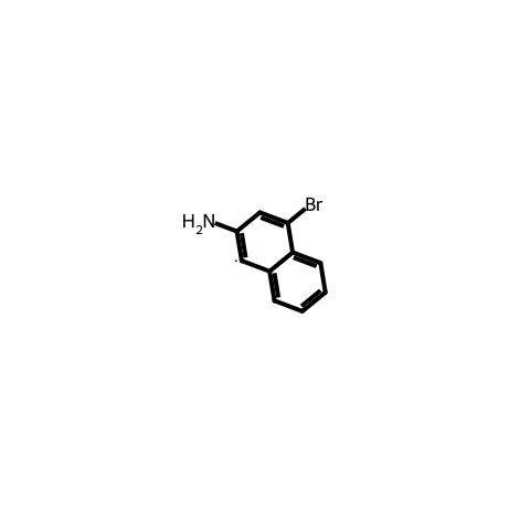 Nc1[c]c2ccccc2c(Br)c1